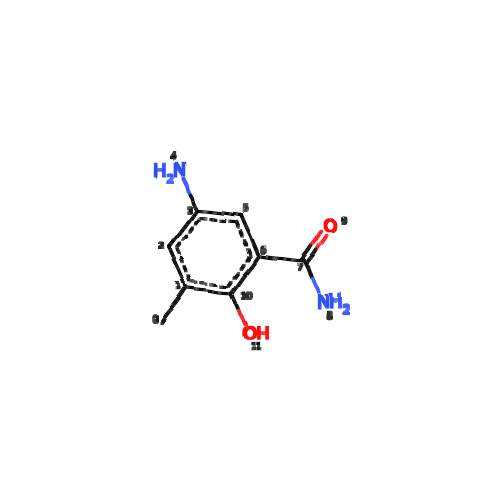 Cc1cc(N)cc(C(N)=O)c1O